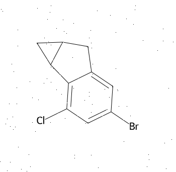 Clc1cc(Br)cc2c1C1CC1C2